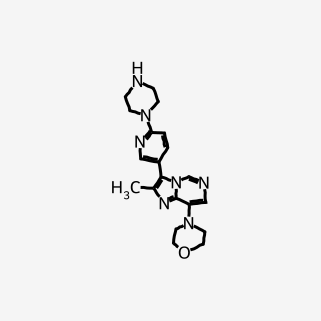 Cc1nc2c(N3CCOCC3)cncn2c1-c1ccc(N2CCNCC2)nc1